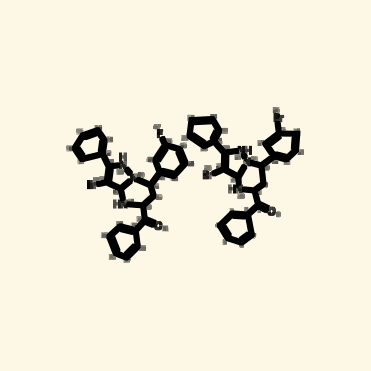 O=C(c1ccccc1)C1CC(c2cccc(Br)c2)N2NC(c3ccccc3)=C(Br)C2N1.O=C(c1ccccc1)C1CC(c2cccc(F)c2)N2NC(c3ccccc3)=C(Br)C2N1